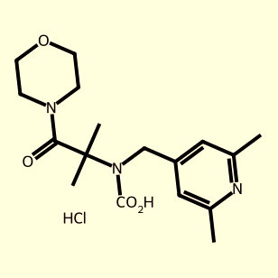 Cc1cc(CN(C(=O)O)C(C)(C)C(=O)N2CCOCC2)cc(C)n1.Cl